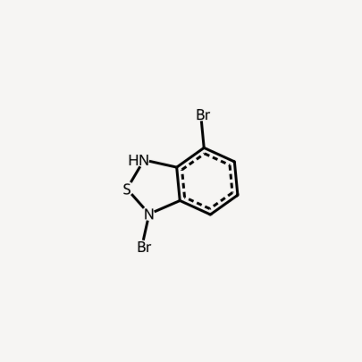 Brc1cccc2c1NSN2Br